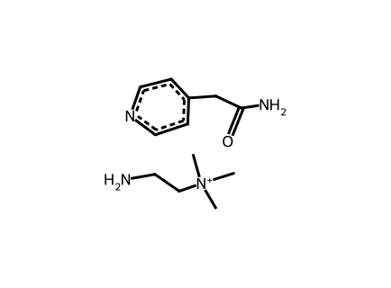 C[N+](C)(C)CCN.NC(=O)Cc1ccncc1